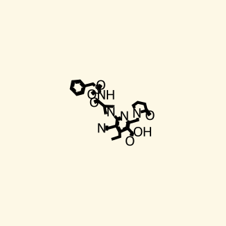 CCc1c(C#N)c(N2CC(C(=O)NS(=O)(=O)Cc3ccccc3)C2)nc(CN2CCCC2=O)c1C(=O)O